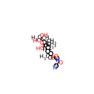 C[C@@H]1CC([C@H](O)C(C)(C)O)OC2C1[C@@]1(C)CCC34C[C@@]35CC[C@H](OC3CN(C(=O)c6ccncc6)CCO3)C(C)(C)C5CC[C@H]4C1(C)[C@H]2O